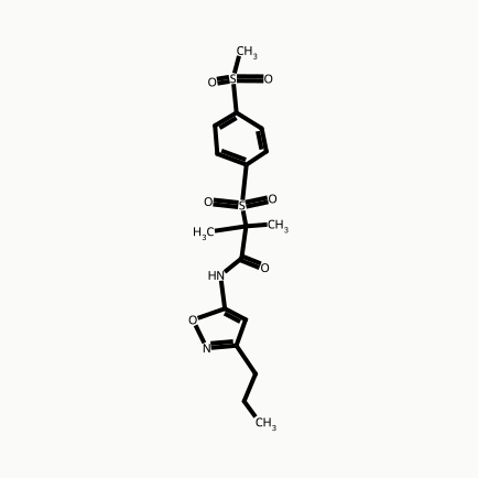 CCCc1cc(NC(=O)C(C)(C)S(=O)(=O)c2ccc(S(C)(=O)=O)cc2)on1